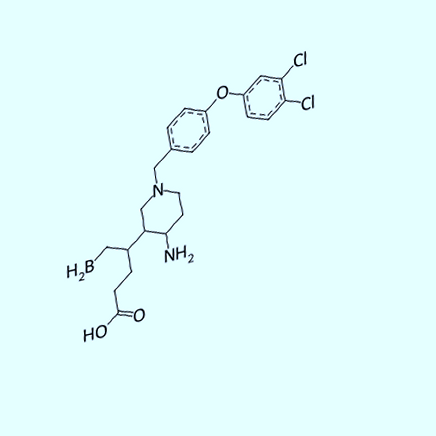 BCC(CCC(=O)O)C1CN(Cc2ccc(Oc3ccc(Cl)c(Cl)c3)cc2)CCC1N